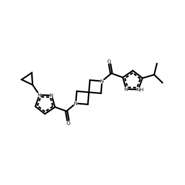 CC(C)c1cc(C(=O)N2CC3(C2)CN(C(=O)c2ccn(C4CC4)n2)C3)n[nH]1